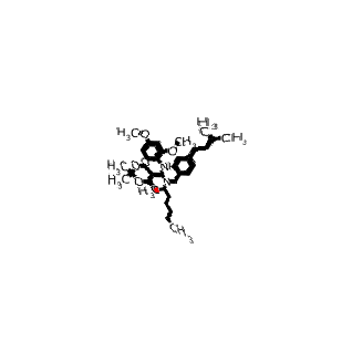 CCCCCC(C)N(Cc1ccc(CCC(C)C)cc1)C(Nc1ccc(OC)cc1OC)=C1C(=O)OC(C)(C)OC1=O